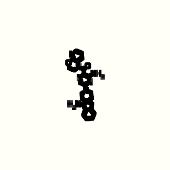 Nc1nc(N2CCC3(CC2)Cc2ccccc2C3N)cnc1C(=O)N1CCOc2ncccc21